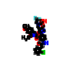 COc1ccc(CNS(=O)(=O)c2cc(NC(=O)Cc3ccccc3Cl)ccc2-n2cc(CN(CC(F)F)C(=O)O)cn2)c(OC)c1